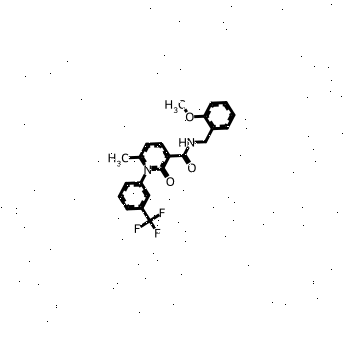 COc1ccccc1CNC(=O)c1ccc(C)n(-c2cccc(C(F)(F)F)c2)c1=O